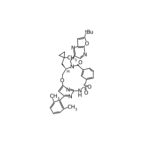 Cc1cccc(C)c1-c1cc2nc(n1)NS(=O)(=O)c1cccc(c1)C(=O)N(Cc1cnc3oc(C(C)(C)C)cc3n1)[C@H](CC1(C)CC1)CO2